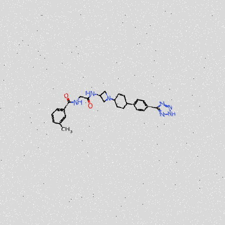 Cc1cccc(C(=O)NCC(=O)NC2CN(C3CCC(c4ccc(-c5nn[nH]n5)cc4)CC3)C2)c1